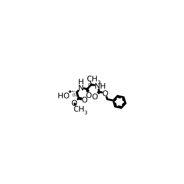 COC(=O)[C@H](CO)NC(=O)[C@H](C)NC(=O)OCc1ccccc1